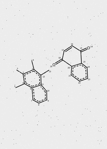 Cc1c(C)c(C)c2ccccc2c1C.O=C1C=CC(=O)c2ccccc21